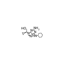 Nc1nc(NC2CCCCC2)c2ncn(C(CO)=C3CC3)c2n1